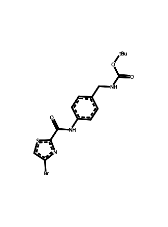 CC(C)(C)OC(=O)NCc1ccc(NC(=O)c2nc(Br)cs2)cc1